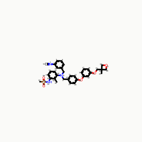 [C-]#[N+]c1cccc(CN(Cc2ccc(Oc3cccc(OCC4(C)COC4)c3)cc2)c2cccc(NS(C)(=O)=O)c2C)c1